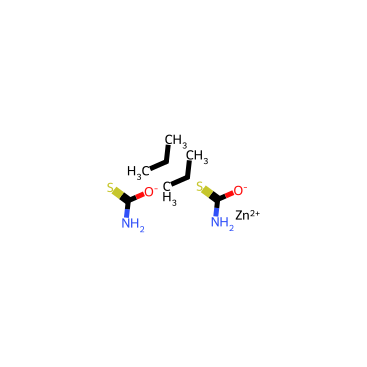 CCC.CCC.NC([O-])=S.NC([O-])=S.[Zn+2]